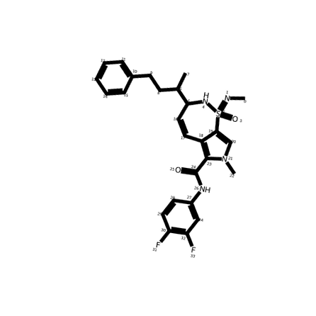 CN=S1(=O)NC(C(C)CCc2ccccc2)C=Cc2c1cn(C)c2C(=O)Nc1ccc(F)c(F)c1